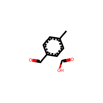 Cc1ccc(C=O)cc1.O=CO